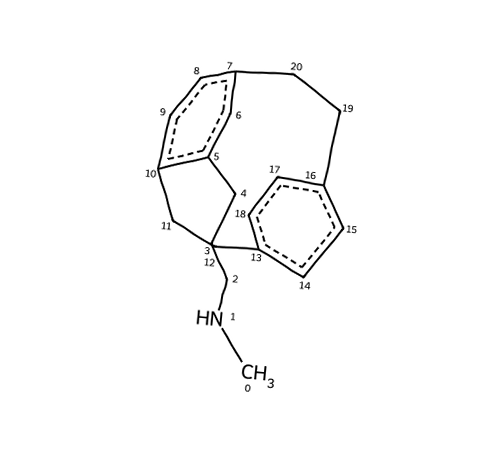 CNCCCc1cc2ccc1CCc1ccc(cc1)CC2